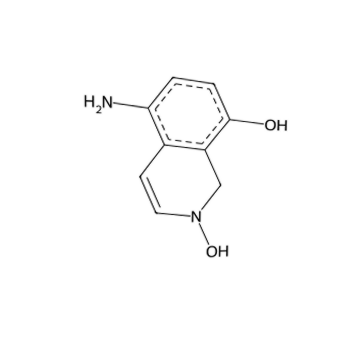 Nc1ccc(O)c2c1C=CN(O)C2